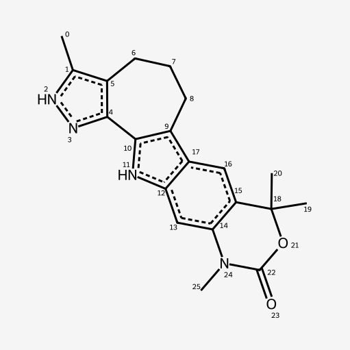 Cc1[nH]nc2c1CCCc1c-2[nH]c2cc3c(cc12)C(C)(C)OC(=O)N3C